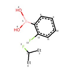 CCC(F)CC.OB(O)c1ccccc1F